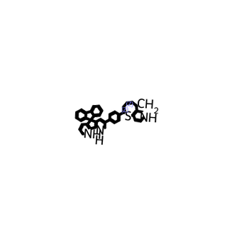 C=C1/C=C\C=C(\c2ccc(C3=CC4=C(NC3)C3=C(C=CCN3)C43c4ccccc4-c4ccccc43)cc2)SC2=C1CNC=C2